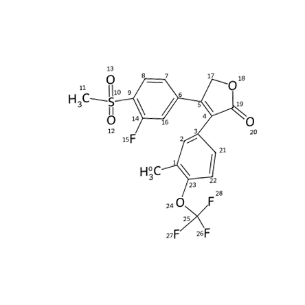 Cc1cc(C2=C(c3ccc(S(C)(=O)=O)c(F)c3)COC2=O)ccc1OC(F)(F)F